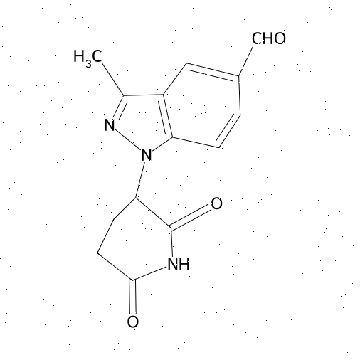 Cc1nn(C2CCC(=O)NC2=O)c2ccc(C=O)cc12